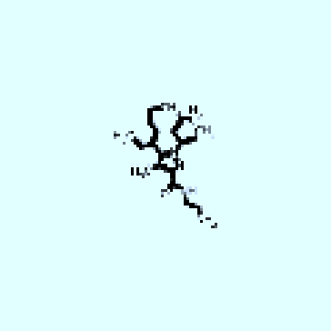 C=C/C(=C\C=C/C)c1c(C)c(C(=O)NCCN)nn1C(/C=C\C)=C/C